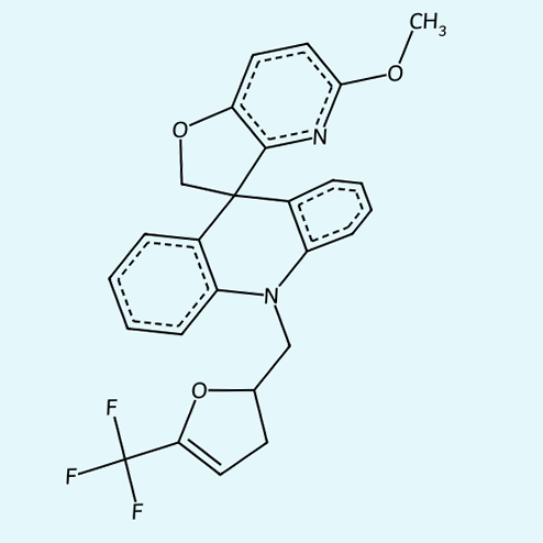 COc1ccc2c(n1)C1(CO2)c2ccccc2N(CC2CC=C(C(F)(F)F)O2)c2ccccc21